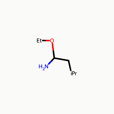 CCOC(N)CC(C)C